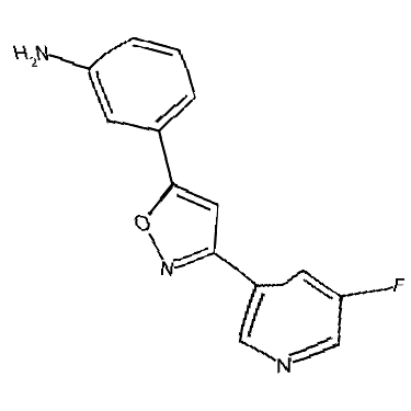 Nc1cccc(-c2cc(-c3cncc(F)c3)no2)c1